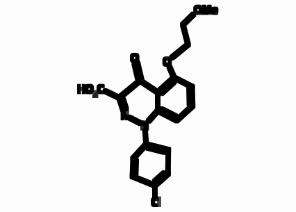 COCCOc1cccc2c1c(=O)c(C(=O)O)nn2-c1ccc(Cl)cc1